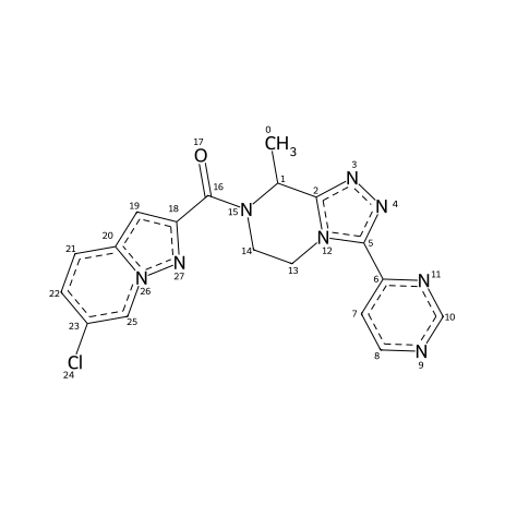 CC1c2nnc(-c3ccncn3)n2CCN1C(=O)c1cc2ccc(Cl)cn2n1